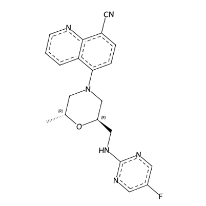 C[C@@H]1CN(c2ccc(C#N)c3ncccc23)C[C@@H](CNc2ncc(F)cn2)O1